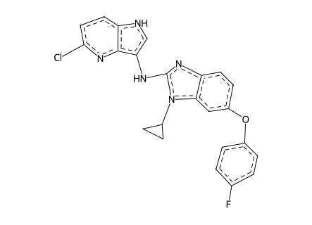 Fc1ccc(Oc2ccc3nc(Nc4c[nH]c5ccc(Cl)nc45)n(C4CC4)c3c2)cc1